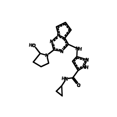 O=C(NC1CC1)c1cc(Nc2nc(N3CCCC3O)nn3cccc23)n[nH]1